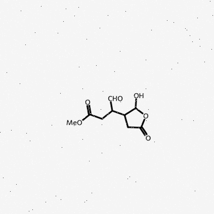 COC(=O)CC(C=O)C1CC(=O)OC1O